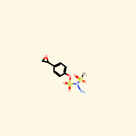 NN(S(=O)(=O)Oc1ccc(C2CO2)cc1)S(=O)(=O)C(F)(F)F